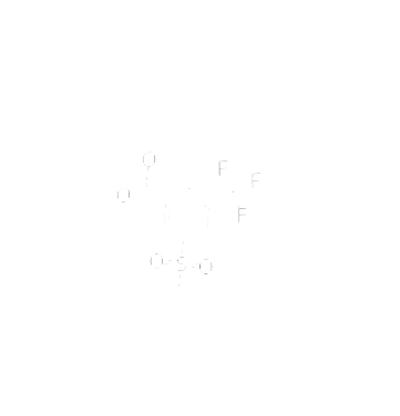 COC(=O)c1cc(C(F)(F)F)cc(S(=O)(=O)C(C)C)c1